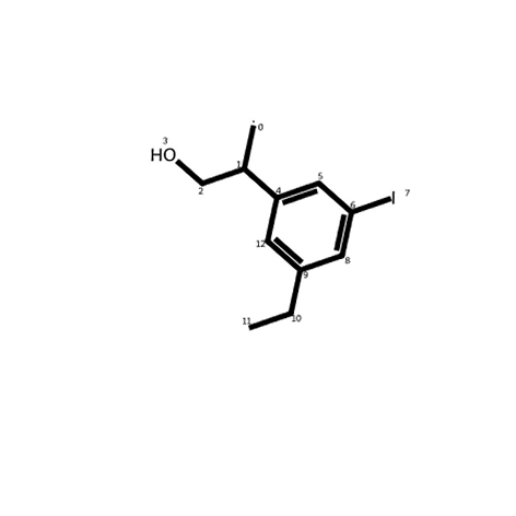 [CH2]C(CO)c1cc(I)cc(CC)c1